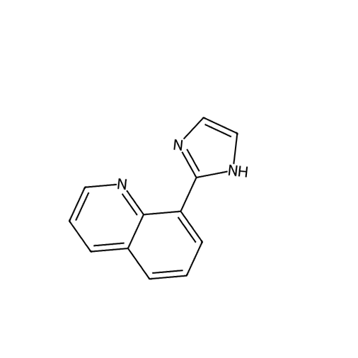 c1cnc2c(-c3ncc[nH]3)cccc2c1